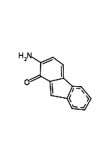 NC1=CC=C2C(=Cc3ccccc32)C1=O